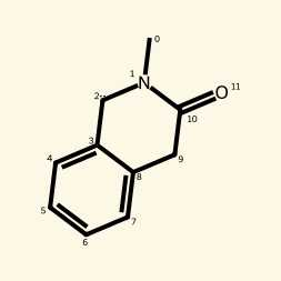 CN1[C]c2ccccc2CC1=O